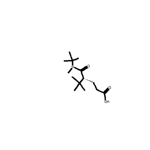 CN(C(=O)[C@H](CCC(=O)O)C(C)(C)C)C(C)(C)C